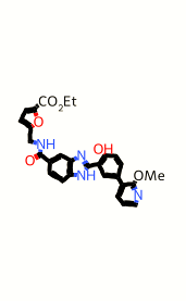 CCOC(=O)c1ccc(CNC(=O)c2ccc3[nH]c(-c4cc(-c5cccnc5OC)ccc4O)nc3c2)o1